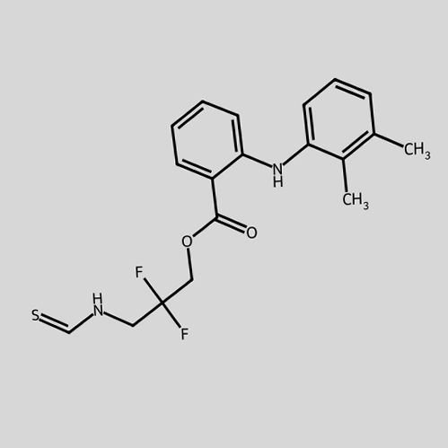 Cc1cccc(Nc2ccccc2C(=O)OCC(F)(F)CNC=S)c1C